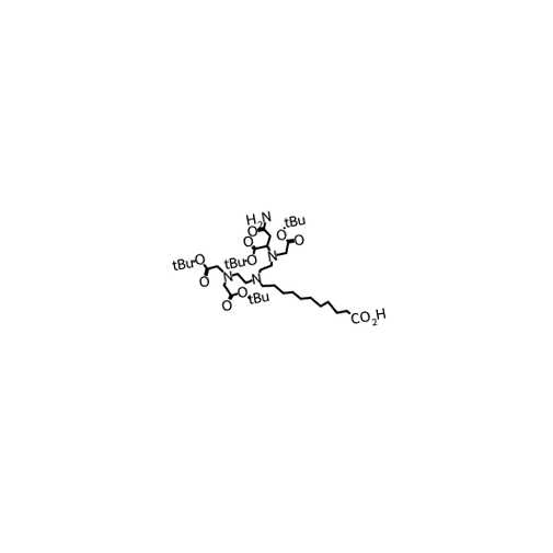 CC(C)(C)OC(=O)CN(CCN(CCCCCCCCCCC(=O)O)CCN(CC(=O)OC(C)(C)C)C(CC(N)=O)C(=O)OC(C)(C)C)CC(=O)OC(C)(C)C